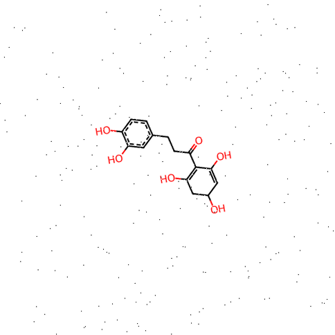 O=C(CCc1ccc(O)c(O)c1)C1=C(O)CC(O)C=C1O